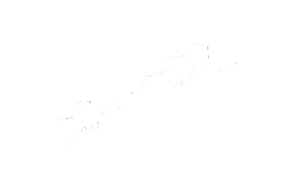 C/C(=N\OCc1ccc(OC(C)C)c(C#N)c1)c1ccc2c(c1)CCC2NCC(=O)O